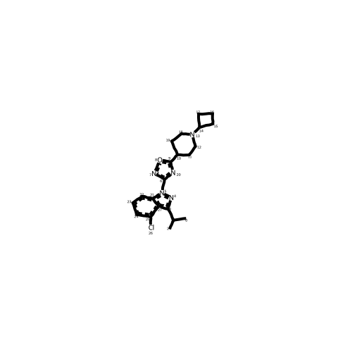 CC(C)c1nn(-c2noc(C3CCN(C4CCC4)CC3)n2)c2cccc(Cl)c12